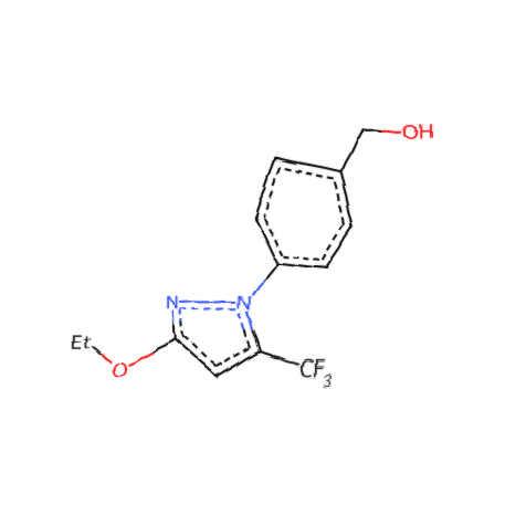 CCOc1cc(C(F)(F)F)n(-c2ccc(CO)cc2)n1